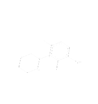 Cc1ccc(N)c(C)c1C1CCCCC1